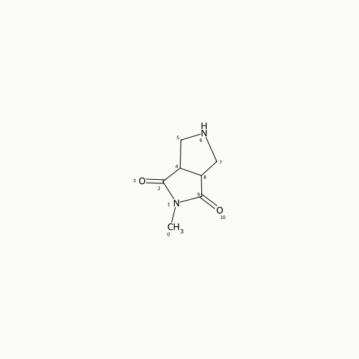 CN1C(=O)C2CNCC2C1=O